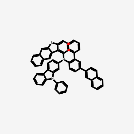 c1ccc(-c2cc(-c3ccc4ccccc4c3)ccc2N(c2ccc3c4ccccc4n(-c4ccccc4)c3c2)c2cccc3sc4cc5ccccc5cc4c23)cc1